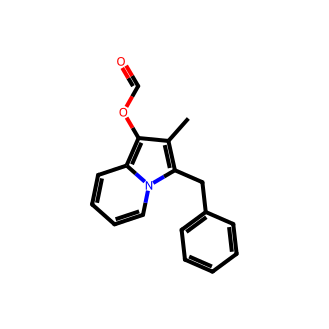 Cc1c(OC=O)c2ccccn2c1Cc1ccccc1